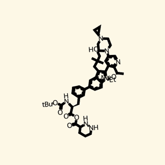 CCn1c(-c2cc(N3CCN(C4CC4)CC3)cnc2[C@H](C)OC)c(CC(C)(C)CO)c2cc(-c3cccc(C[C@H](NC(=O)OC(C)(C)C)C(=O)OC(=O)C4CCCNN4)c3)ccc21